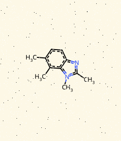 Cc1ccc2nc(C)n(C)c2c1C